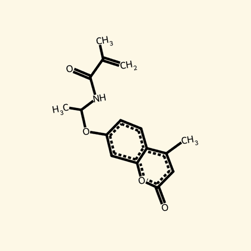 C=C(C)C(=O)NC(C)Oc1ccc2c(C)cc(=O)oc2c1